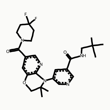 CC(C)(C)CNC(=O)c1cncc(N2c3ncc(C(=O)N4CCC(F)(F)CC4)cc3OCC2(C)C)c1